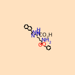 NC(CCC[C@H](NC(=O)O)c1ncc(-c2ccc3ccccc3c2)[nH]1)C(=O)OCc1ccccc1